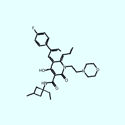 C\C=C(/C=c1/c(O)c(C(=O)NC2(CC)CC(C)C2)c(=O)n(CCN2CCOCC2)/c1=C\CC)c1ccc(F)cc1